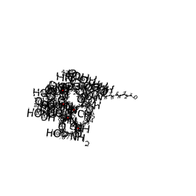 CCCCCCCCCC(=O)N[C@H]1[C@H](Oc2c3cc4cc2Oc2ccc(cc2Cl)[C@@H](O[C@@H]2O[C@H](CO)[C@@H](O)[C@H](O)[C@H]2NC(C)=O)[C@@H]2NC(=O)[C@H](NC(=O)[C@@H]4NC(=O)[C@H]4NC(=O)[C@H](Cc5ccc(c(Cl)c5)O3)NC(=O)[C@H](N)c3ccc(O)c(c3)Oc3cc(O)cc4c3)c3ccc(O)c(c3)-c3c(O[C@H]4O[C@H](CO)[C@@H](O)[C@H](O)[C@@H]4O)cc(O)cc3[C@@H](C(=O)O)NC2=O)O[C@H](CO)[C@@H](O)[C@@H]1O